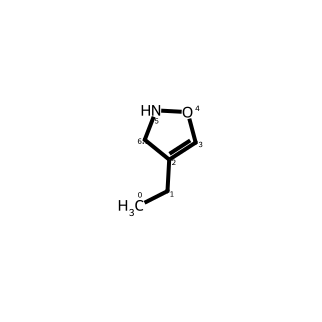 CCC1=CON[C]1